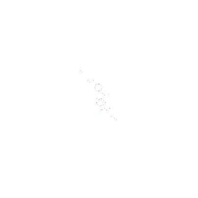 CN1CCC(N(C)C(=O)c2ccc(Nc3ncc(C(F)(F)F)c(N[C@@H]4CCC[C@@H]4C(=O)NCCF)n3)cc2)CC1